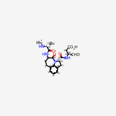 CC[C@H](C)[C@H](NC(C)(C)C)C(=O)NC1CCc2cccc3c2N(C1=O)[C@H](C(=O)N[C@H](C=O)CC(=O)O)C3